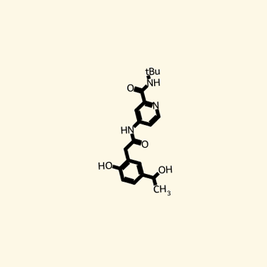 CC(O)c1ccc(O)c(CC(=O)Nc2ccnc(C(=O)NC(C)(C)C)c2)c1